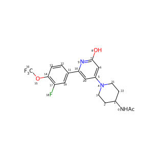 CC(=O)NC1CCN(c2cc(O)nc(-c3ccc(OC(F)(F)F)c(F)c3)c2)CC1